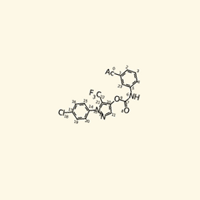 CC(=O)c1cccc(NC(=O)Oc2cnn(-c3ccc(Cl)cc3)c2C(F)(F)F)c1